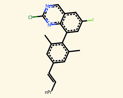 CCC/C=C/c1cc(C)c(-c2cc(F)cc3cnc(Cl)nc23)c(C)c1